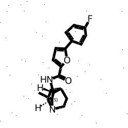 C[C@H]1[C@H](NC(=O)c2ccc(-c3ccc(F)cc3)o2)C2CCN1CC2